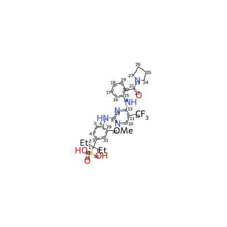 CCC(CC)(c1ccc(Nc2ncc(C(F)(F)F)c(Nc3ccccc3C(=O)N3CCCC3)n2)c(OC)c1)P(=O)(O)O